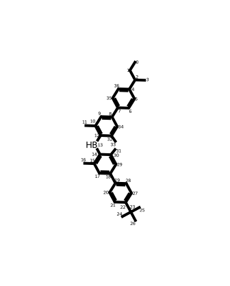 CCC(C)c1ccc(-c2cc(C)c(Bc3c(C)cc(-c4ccc(C(C)(C)C)cc4)cc3C)c(C)c2)cc1